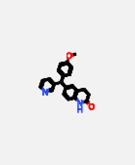 COc1ccc(C(c2cccnc2)c2ccc3c(c2)CCC(=O)N3)cc1